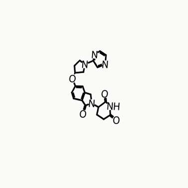 O=C1CCC(N2Cc3cc(O[C@@H]4CCN(c5cnccn5)C4)ccc3C2=O)C(=O)N1